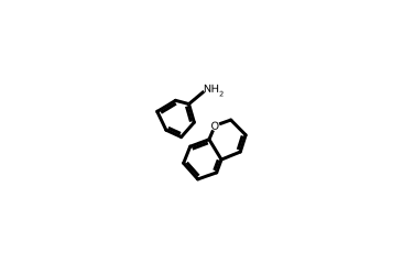 C1=Cc2ccccc2OC1.Nc1ccccc1